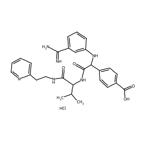 CC(C)C(NC(=O)C(Nc1cccc(C(=N)N)c1)c1ccc(C(=O)O)cc1)C(=O)NCCc1ccccn1.Cl